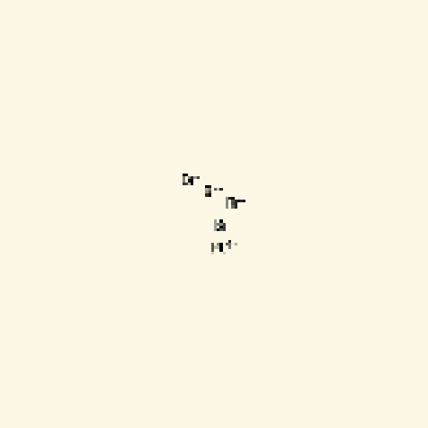 [Br-].[Br-].[Br-].[Br-].[Pt+4]